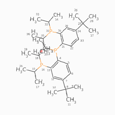 CC(C)P(c1ccc(C(C)(C)C)cc1P(C(C)C)C(C)C)c1ccc(C(C)(C)C)cc1P(C(C)C)C(C)C